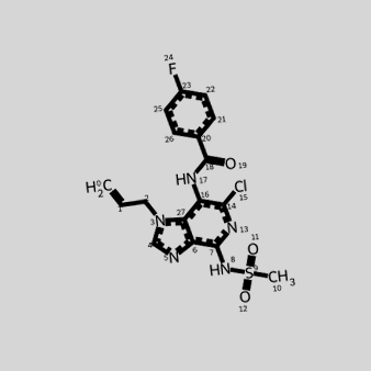 C=CCn1cnc2c(NS(C)(=O)=O)nc(Cl)c(NC(=O)c3ccc(F)cc3)c21